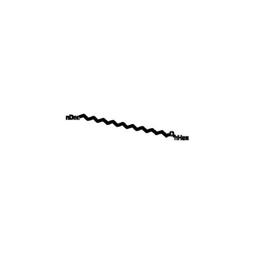 CCCCCCCCCCCCCCCCCCCCCCCCCCC[CH]OCCCCCC